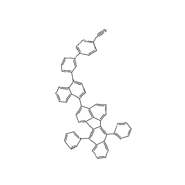 N#Cc1ccc(-c2cccc(-c3ccc(-c4ccc5c6c(cccc46)-c4c-5c(-c5ccccc5)c5ccccc5c4-c4ccccc4)c4ccccc34)c2)cc1